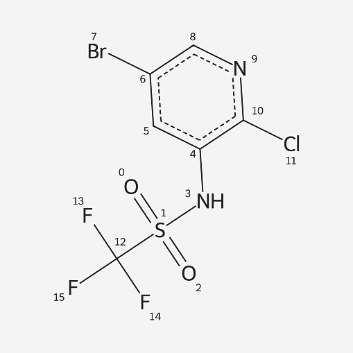 O=S(=O)(Nc1cc(Br)cnc1Cl)C(F)(F)F